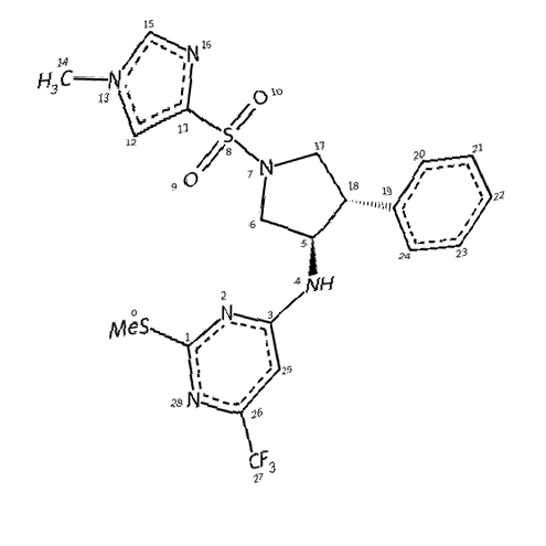 CSc1nc(N[C@H]2CN(S(=O)(=O)c3cn(C)cn3)C[C@@H]2c2ccccc2)cc(C(F)(F)F)n1